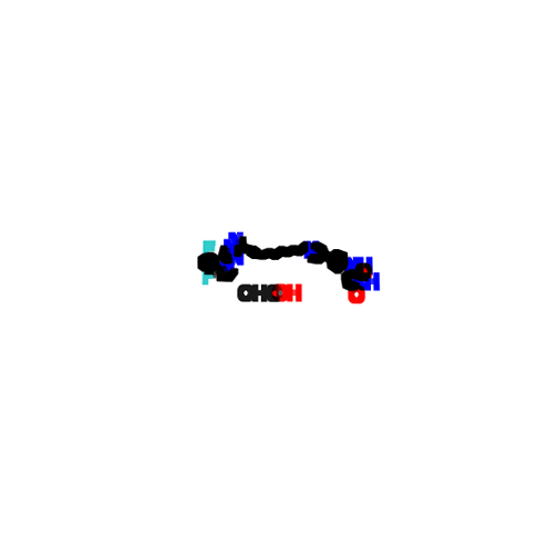 O=C1CCC(Nc2ccc(C3CCN(CCCCCCCCC#Cc4cnn5ccc(N6CCC[C@@H]6c6cc(F)ccc6F)nc45)CC3)cc2)C(=O)N1.O=CO